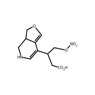 O=C(O)CC(CO[N+](=O)[O-])C1=CNCC2COC=C12